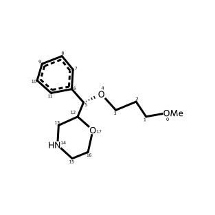 COCCCO[C@@H](c1ccccc1)C1CNCCO1